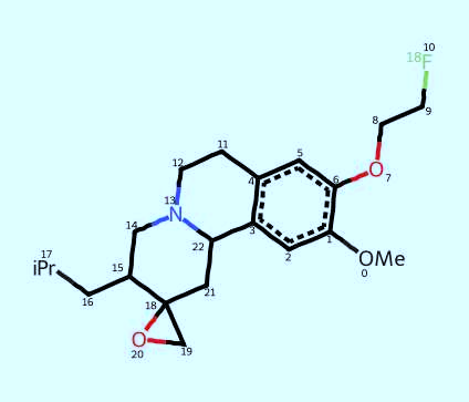 COc1cc2c(cc1OCC[18F])CCN1CC(CC(C)C)C3(CO3)CC21